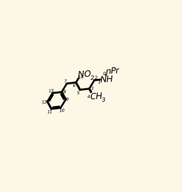 CCCNCC(C)CC(Cc1ccccc1)[N+](=O)[O-]